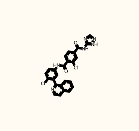 O=C(Nc1ncn[nH]1)c1ccc(C(=O)Nc2ccc(Cl)c(-c3nccc4ccccc34)c2)c(Cl)c1